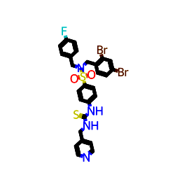 O=S(=O)(c1ccc(NC(=S)NCc2ccncc2)cc1)N(Cc1ccc(F)cc1)Cc1ccc(Br)cc1Br